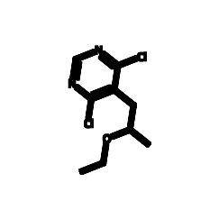 CCOC(C)Cc1c(Cl)ncnc1Cl